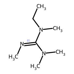 CCN(C)/C(=N/C)N(C)C